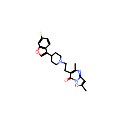 Cc1cc2nc(C)c(CCN3CCC(c4coc5cc(F)ccc45)CC3)c(=O)n2o1